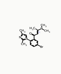 C/C(=C\C(=O)c1cc(Br)ccc1-n1cc(C)nc1C)N(C)C